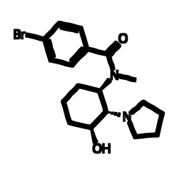 CN(C(=O)c1ccc(Br)cc1)[C@@H]1CCC[C@H](O)[C@H]1N1CCCC1